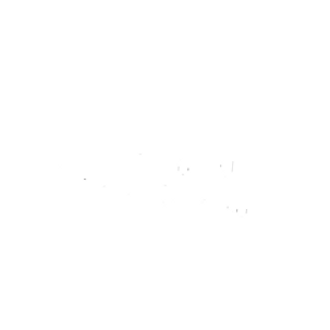 O=C(OC(CS(=O)(=O)O)C(F)(F)F)C1Cc2ccccc2C1